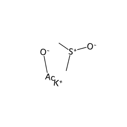 CC(=O)[O-].C[S+](C)[O-].[K+]